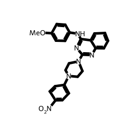 COc1ccc(Nc2nc(N3CCN(c4ccc([N+](=O)[O-])cc4)CC3)nc3ccccc23)cc1